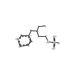 CCC(CCOS(C)(=O)=O)Cc1cccnc1